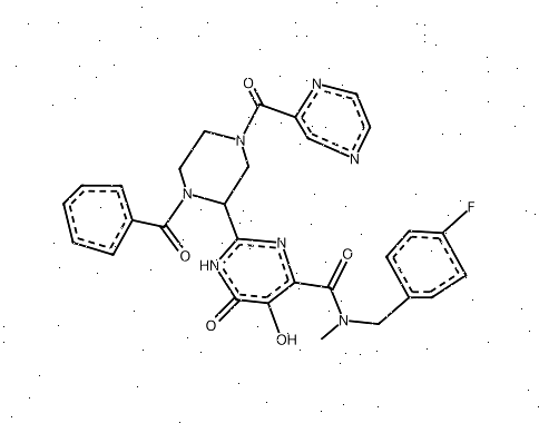 CN(Cc1ccc(F)cc1)C(=O)c1nc(C2CN(C(=O)c3cnccn3)CCN2C(=O)c2ccccc2)[nH]c(=O)c1O